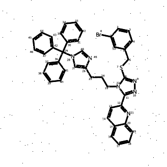 Brc1cccc(CSc2nnc(-c3ccc4ccccc4n3)n2CCCc2cn(C(c3ccccc3)(c3ccccc3)c3ccccc3)cn2)c1